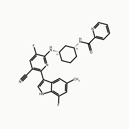 Cc1cc(F)c2[nH]cc(-c3nc(N[C@H]4CCC[C@@H](NC(=O)c5ccccn5)C4)c(F)cc3C#N)c2c1